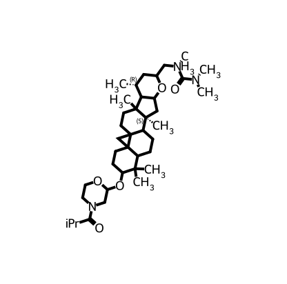 CC(C)C(=O)N1CCOC(OC2CCC34CC35CCC3(C)C6C(C[C@@]3(C)C5CCC4C2(C)C)OC(CN(C)C(=O)N(C)C)C[C@H]6C)C1